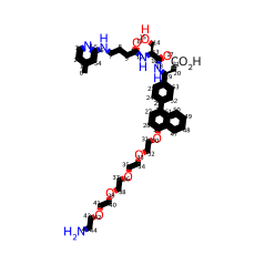 Cc1ccnc(NCCCC(=O)N[C@@H](CO)C(=O)N[C@@H](CC(=O)O)c2ccc(-c3ccc(OCCOCCOCCOCCOCCN)c4ccccc34)cc2)c1